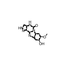 COc1cc2c(cc1O)nc1c3n[nH]cc3[nH]c(=O)n21